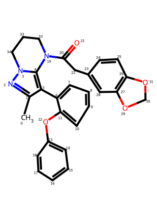 Cc1nn2c(c1-c1ccccc1Oc1ccccc1)N(C(=O)Cc1ccc3c(c1)OCO3)CCC2